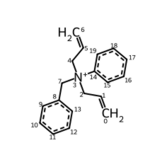 C=CC[N+](CC=C)(Cc1ccccc1)c1ccccc1